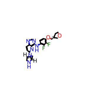 Fc1c(Nc2ncnc3ccc(N4C[C@@H]5C[C@H]4CN5)nc23)ccc(OC[C@H]2CCOC2)c1F